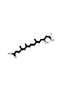 CC(=C\C=C\C(C)=C\C[C@H](O)C[C@H](C)O)/C=C(C)/C=C/C(=O)O